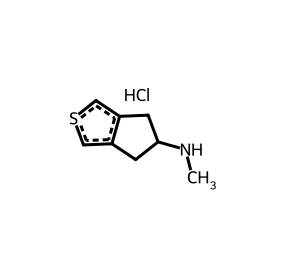 CNC1Cc2cscc2C1.Cl